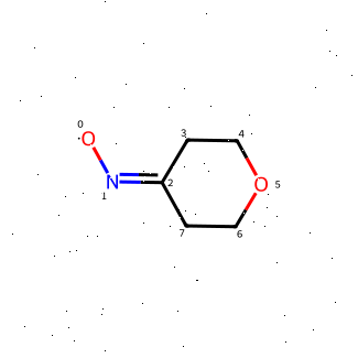 [O]N=C1CCOCC1